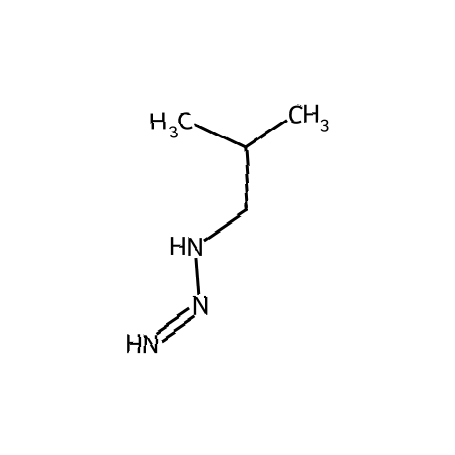 CC(C)CNN=N